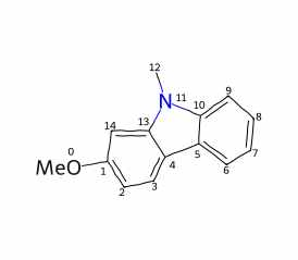 COc1ccc2c3ccccc3n(C)c2c1